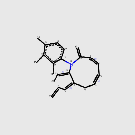 C=C/C=C1/C/C=C\C=C/C(=C)N(c2ccc(C)c(C)c2C)/C1=C/C